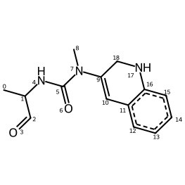 CC(C=O)NC(=O)N(C)C1=Cc2ccccc2NC1